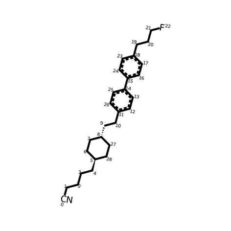 N#CCCCC[C@H]1CC[C@H](CCc2ccc(-c3ccc(CCCF)cc3)cc2)CC1